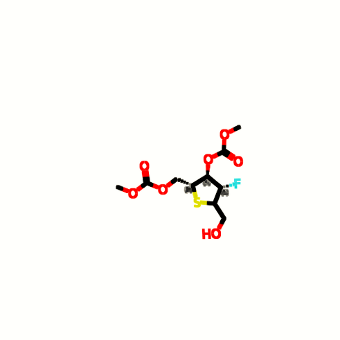 COC(=O)OC[C@H]1SC(CO)[C@@H](F)[C@@H]1OC(=O)OC